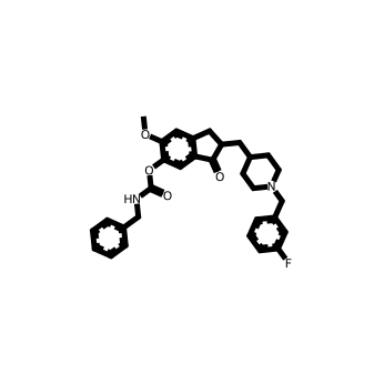 COc1cc2c(cc1OC(=O)NCc1ccccc1)C(=O)C(CC1CCN(Cc3cccc(F)c3)CC1)C2